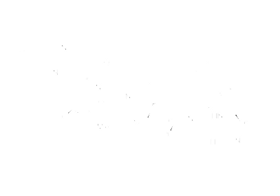 COC(=O)[C@@H](C)C[C@H](Cc1ncc(C)cn1)NC(=O)c1csc([C@@H](C[C@H](C(C)C)N(C)C(=O)[C@@H](NC(=O)[C@H]2CCCCN2C)[C@@H](C)C2CC2)OC(C)=O)n1